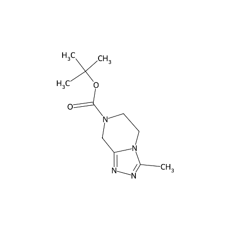 Cc1nnc2n1CCN(C(=O)OC(C)(C)C)C2